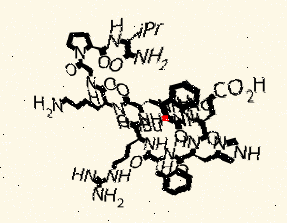 CCCC[C@H](NC(C)=O)C(=O)N[C@@H](CCC(=O)O)C(=O)N[C@@H](Cc1c[nH]cn1)C(=O)N[C@H](Cc1ccccc1)C(=O)N[C@@H](CCCNC(=N)N)C(=O)N[C@@H](Cc1c[nH]c2ccccc12)C(=O)N[C@@H](CCCCN)C(=O)NCC(=O)N1CCC[C@H]1C(=O)N[C@H](C(N)=O)C(C)C